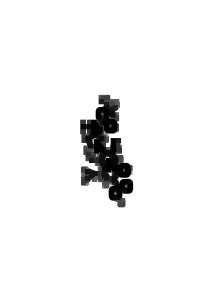 COC(=O)c1cc(C2CC2)c2c(C)c(N3CC[C@H](NC(=O)OC(C)(C)C)C3)c(F)cn2c1=O